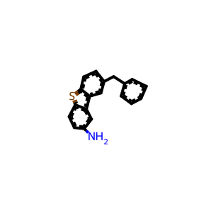 Nc1ccc2sc3ccc(Cc4ccccc4)cc3c2c1